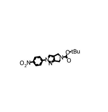 CC(C)(C)OC(=O)N1Cc2cn(-c3ccc([N+](=O)[O-])cc3)nc2C1